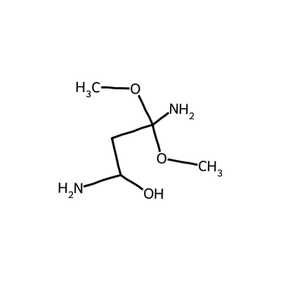 COC(N)(CC(N)O)OC